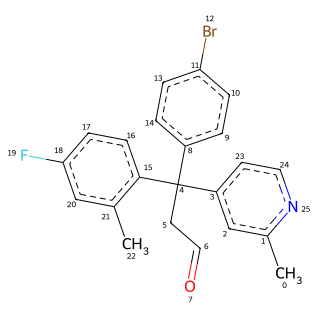 Cc1cc(C(CC=O)(c2ccc(Br)cc2)c2ccc(F)cc2C)ccn1